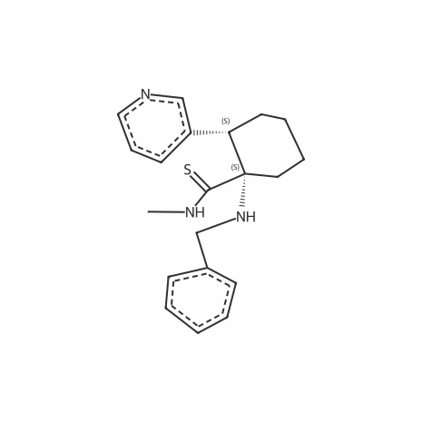 CNC(=S)[C@]1(NCc2ccccc2)CCCC[C@H]1c1cccnc1